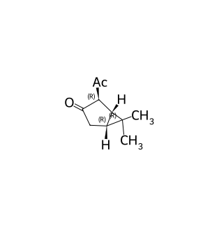 CC(=O)[C@@H]1C(=O)C[C@@H]2[C@H]1C2(C)C